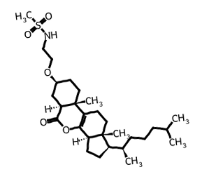 CC(C)CCC[C@@H](C)[C@H]1CC[C@H]2C3=C(CC[C@]12C)[C@@]1(C)CC[C@H](OCCNS(C)(=O)=O)C[C@@H]1C(=O)O3